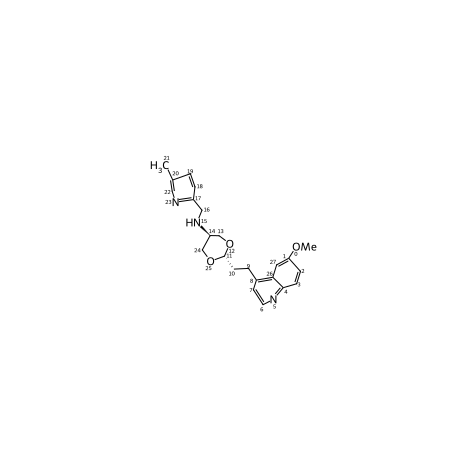 COc1ccc2nccc(CC[C@H]3OC[C@H](NCc4ccc(C)cn4)CO3)c2c1